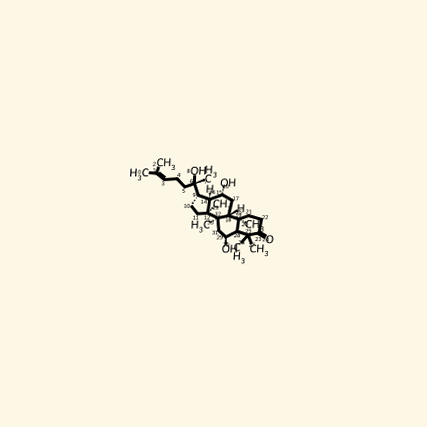 CC(C)=CCC[C@](C)(O)[C@H]1CC[C@@]2(C)[C@@H]1[C@H](O)C[C@@H]1[C@@]3(C)CCC(=O)C(C)(C)C3[C@@H](O)C[C@]12C